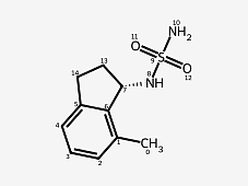 Cc1cccc2c1[C@@H](NS(N)(=O)=O)CC2